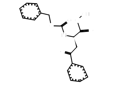 COC(=O)[C@@H](CC(=O)c1ccccc1)NC(=O)OCc1ccccc1